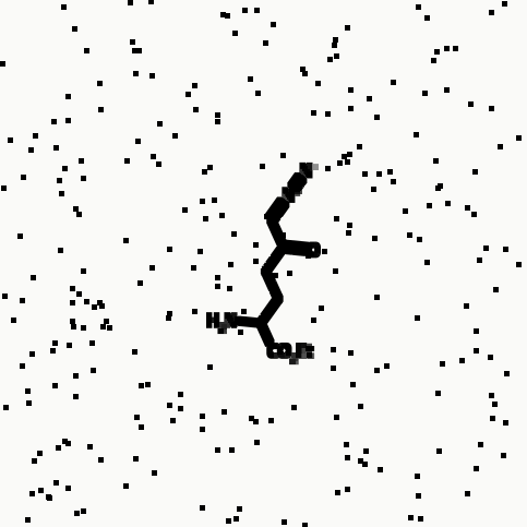 CCOC(=O)C(N)CCC(=O)C=[N+]=[N-]